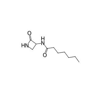 CCCCCCC(=O)NC1CNC1=O